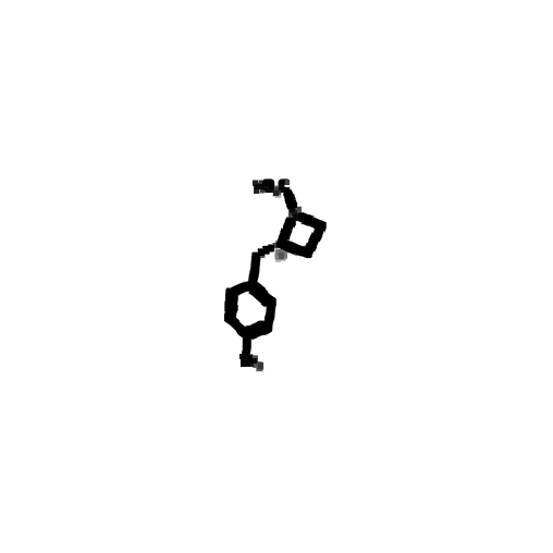 Nc1ccc(C[C@H]2CCN2C(=O)O)cc1